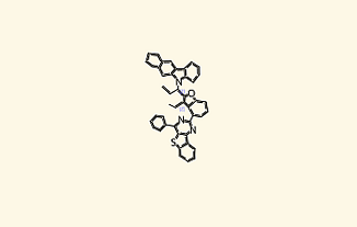 C=C/C(=c1/oc2cccc(-c3nc(-c4ccccc4)c4sc5ccccc5c4n3)c2/c1=C/C)n1c2ccccc2c2cc3ccccc3cc21